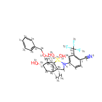 N#Cc1ccc(N2C[C@H]3[C@H]4C[C@H](O)[C@H](C4)[C@@]3(COCc3ccccc3)S2(O)O)cc1C(F)(F)F